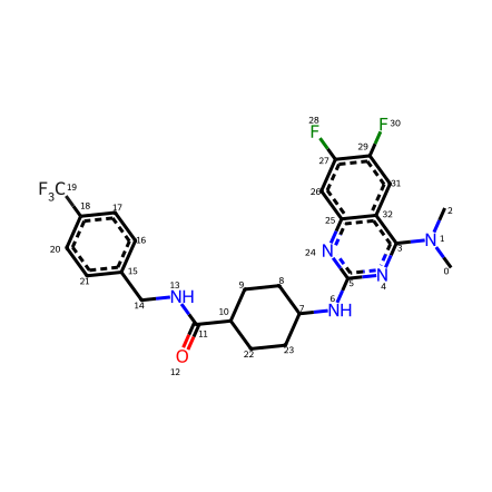 CN(C)c1nc(NC2CCC(C(=O)NCc3ccc(C(F)(F)F)cc3)CC2)nc2cc(F)c(F)cc12